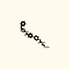 COCCNC(=O)C[C@H]1CC[C@H](c2ccc(C(=O)Nc3nnc(Cc4ccccc4)s3)cc2)CC1